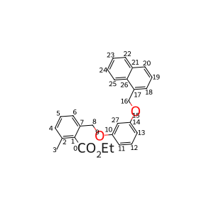 CCOC(=O)c1c(C)cccc1COc1cccc(OCc2cccc3ccccc23)c1